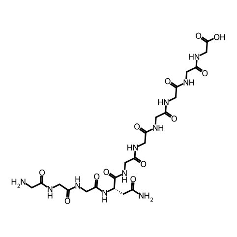 NCC(=O)NCC(=O)NCC(=O)N[C@@H](CC(N)=O)C(=O)NCC(=O)NCC(=O)NCC(=O)NCC(=O)NCC(=O)NCC(=O)O